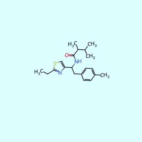 CCc1nc(C(Cc2ccc(C)cc2)NC(=O)C(C)C(C)C)cs1